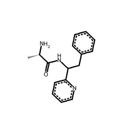 C[C@H](N)C(=O)NC(Cc1ccccc1)c1ccccn1